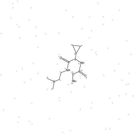 CN(C)CCNC(=O)C(NC(=O)OC(C)(C)C)C1CC1